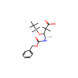 C[C@H](NC(=O)OCc1ccccc1)C(O[Si](C)(C)C(C)(C)C)C(C)(C)C(=O)O